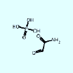 NC(=O)C=O.O=P(O)(O)O